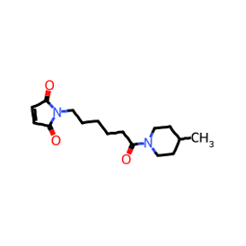 CC1CCN(C(=O)CCCCCN2C(=O)C=CC2=O)CC1